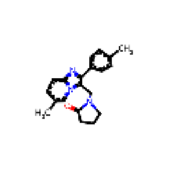 Cc1ccc(-c2nc3ccc(C)cn3c2CN2CCCC2=O)cc1